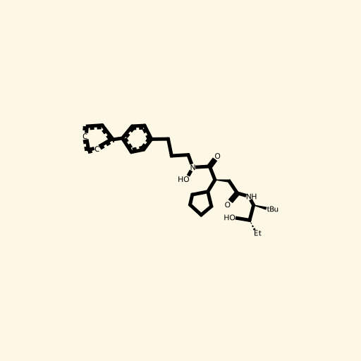 CC[C@H](O)[C@@H](NC(=O)C[C@H](C(=O)N(O)CCCc1ccc(-c2ccccc2)cc1)C1CCCC1)C(C)(C)C